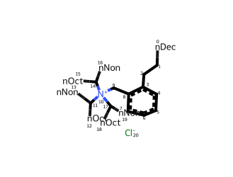 CCCCCCCCCCCCc1ccccc1C[N+](C(CCCCCCCC)CCCCCCCCC)(C(CCCCCCCC)CCCCCCCCC)C(CCCCCCCC)CCCCCCCCC.[Cl-]